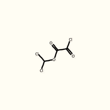 O=C(Cl)C(=O)OC(Cl)Cl